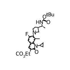 CCOC(=O)c1cc2cc(F)c(N3CCC([C@H](C)NC(=O)OC(C)(C)C)C3)c(C)c2n(C2CC2)c1=O